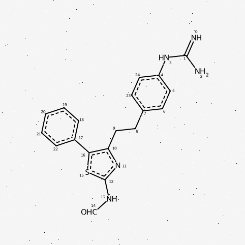 N=C(N)Nc1ccc(CCc2nc(NC=O)sc2-c2ccccc2)cc1